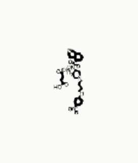 CN(C1CCN(CCCCOc2ccc([N+](=O)[O-])cc2)CC1)S(=O)(=O)c1cccc2cnccc12.O=C(O)/C=C/C(=O)O